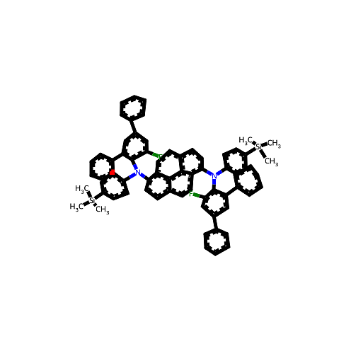 C[Si](C)(C)c1ccc(N(c2c(F)cc(-c3ccccc3)cc2-c2ccccc2)c2ccc3ccc4c(N(c5ccc([Si](C)(C)C)cc5)c5c(F)cc(-c6ccccc6)cc5-c5ccccc5)ccc5ccc2c3c54)cc1